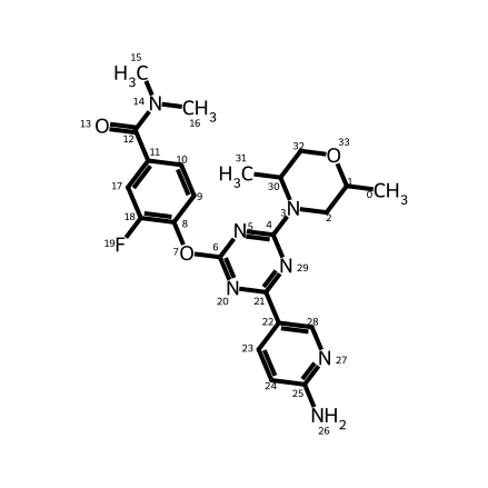 CC1CN(c2nc(Oc3ccc(C(=O)N(C)C)cc3F)nc(-c3ccc(N)nc3)n2)C(C)CO1